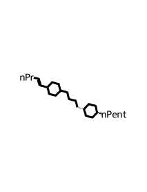 CCCC=CC1CCC(CCCC[C@H]2CC[C@H](CCCCC)CC2)CC1